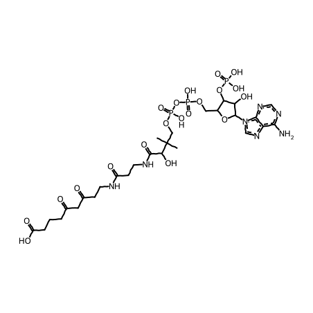 CC(C)(COP(=O)(O)OP(=O)(O)OCC1OC(n2cnc3c(N)ncnc32)C(O)C1OP(=O)(O)O)C(O)C(=O)NCCC(=O)NCCC(=O)CC(=O)CCCC(=O)O